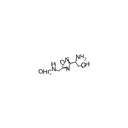 N[C@@H](CO)c1noc(CNC=O)n1